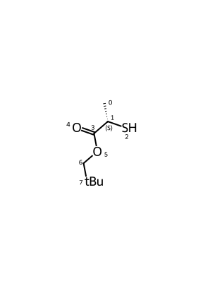 C[C@H](S)C(=O)OCC(C)(C)C